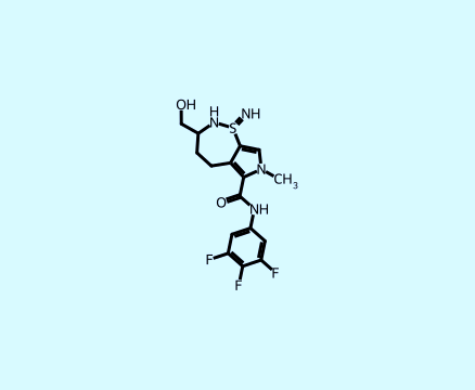 Cn1cc2c(c1C(=O)Nc1cc(F)c(F)c(F)c1)CCC(CO)NS2=N